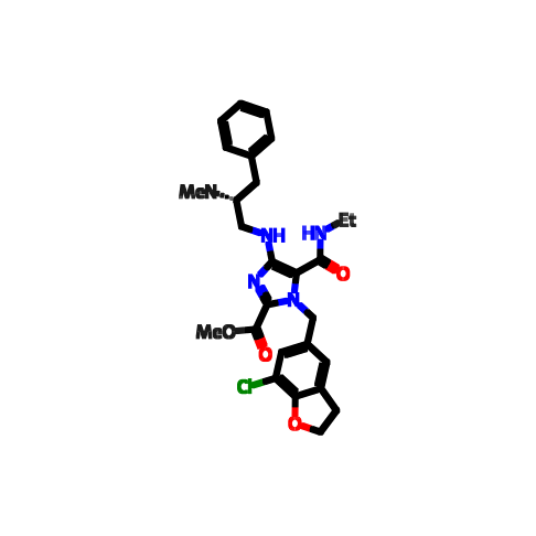 CCNC(=O)c1c(NC[C@@H](Cc2ccccc2)NC)nc(C(=O)OC)n1Cc1cc(Cl)c2c(c1)CCO2